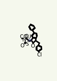 O=C(O)CN1C(=O)S/C(=C2\C(=O)C(Cc3ccc(Cl)cc3)c3ccc(-c4ccccc4)cc32)C1=O